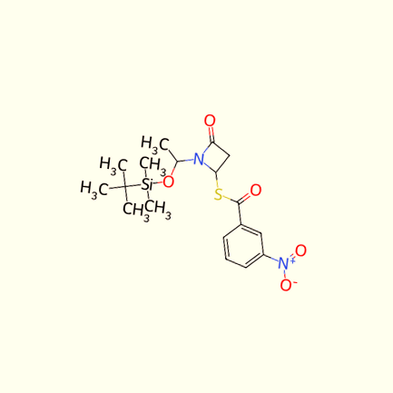 CC(O[Si](C)(C)C(C)(C)C)N1C(=O)CC1SC(=O)c1cccc([N+](=O)[O-])c1